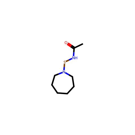 CC(=O)NSN1CCCCCC1